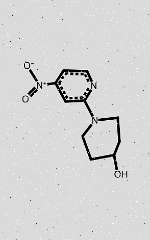 O=[N+]([O-])c1ccnc(N2CCC(O)CC2)c1